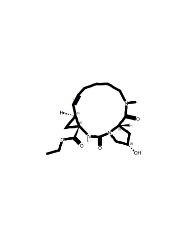 CCOC(=O)[C@@]12C[C@H]1/C=C\CCCCN(C)C(=O)[C@@H]1C[C@H](O)CN1C(=O)N2